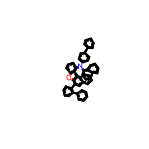 c1ccc(-c2ccc(N(c3cccc4ccccc34)c3cccc4oc5c(-c6ccccc6-c6ccccc6)cc6ccccc6c5c34)cc2)cc1